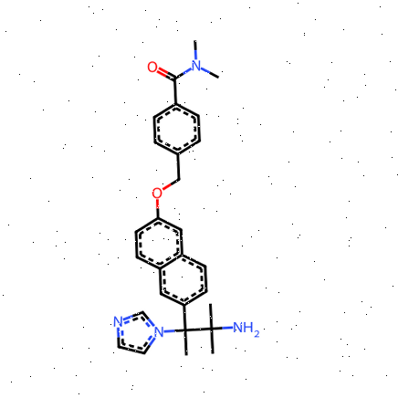 CN(C)C(=O)c1ccc(COc2ccc3cc(C(C)(n4ccnc4)C(C)(C)N)ccc3c2)cc1